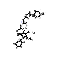 Cc1c(N2OC/C(=C\c3ccc(-c4ccc(Br)cc4)o3)SC2=S)c(=O)n(-c2ccccc2)n1C